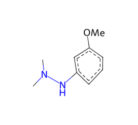 COc1cccc(NN(C)C)c1